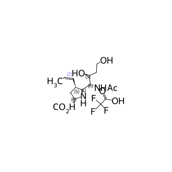 C/C=C\[C@@H]1C[C@H](C(=O)O)N[C@@H]1[C@@H](NC(C)=O)[C@@H](O)CCO.O=C(O)C(F)(F)F